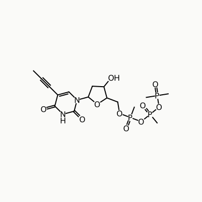 CC#Cc1cn(C2CC(O)C(COP(C)(=O)OP(C)(=O)OP(C)(C)=O)O2)c(=O)[nH]c1=O